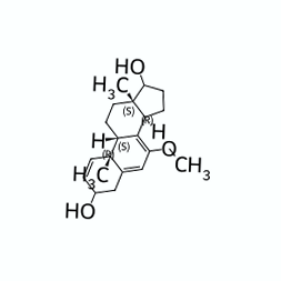 COC1=C2[C@@H](CC[C@]3(C)C(O)CC[C@@H]23)[C@@]2(C)C=CC(O)CC2=C1